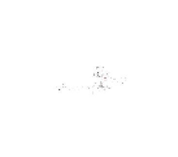 CC(C)C[C@H](NC(=O)[C@@H]1CCCN1C(=O)CCOCCOCCNC(=O)[C@@H](N)CS)C(=O)N[C@@H](Cc1cnc[nH]1)C(=O)N[C@@H](CO)C(=O)N[C@H](C(N)=O)[C@@H](C)OP(=O)(O)OCCCCCCCCc1ccccc1